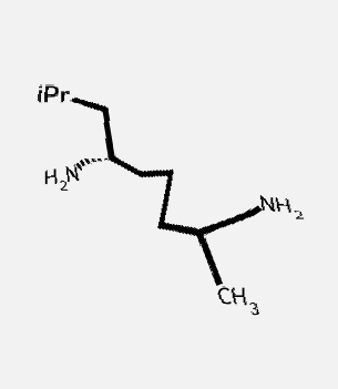 CC(C)C[C@@H](N)CCC(C)N